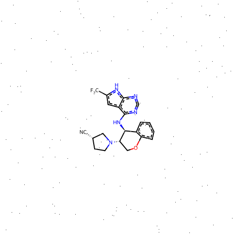 N#C[C@H]1CCN([C@H]2COc3ccccc3[C@@H]2Nc2ncnc3[nH]c(C(F)(F)F)cc23)C1